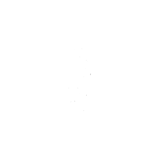 OCC1[C@@H](O)C(O)C1(O)[C@H](O)Oc1ccc(N2CCc3ccccc32)cc1